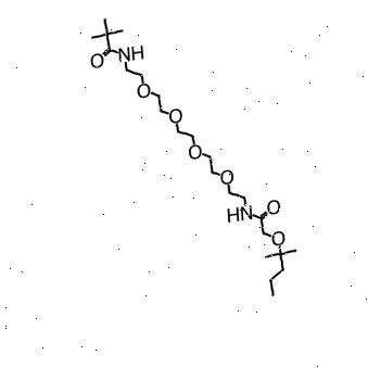 CCCC(C)(C)OCC(=O)NCCOCCOCCOCCOCCNC(=O)C(C)(C)C